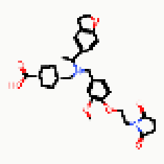 COc1cc(CN(C[C@H]2CC[C@@H](C(=O)O)CC2)C(C)c2ccc3c(c2)CCO3)ccc1OCCN1C(=O)CCC1=O